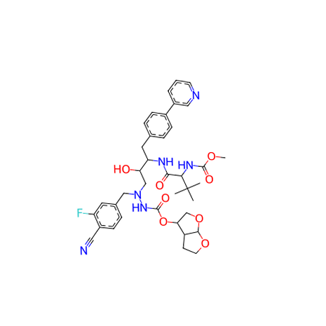 COC(=O)NC(C(=O)NC(Cc1ccc(-c2cccnc2)cc1)C(O)CN(Cc1ccc(C#N)c(F)c1)NC(=O)OC1COC2OCCC12)C(C)(C)C